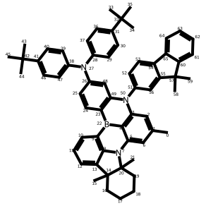 Cc1cc2c3c(c1)N1c4c(cccc4C4(C)CCCCC14C)B3c1ccc(N(c3ccc(C(C)(C)C)cc3)c3ccc(C(C)(C)C)cc3)cc1N2c1ccc2c(c1)C(C)(C)c1ccccc1-2